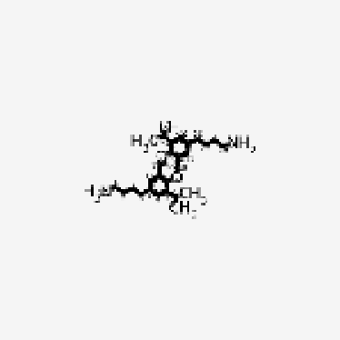 CC(C)c1cc(CCCCN)cc2c1OC1OC2Oc2c(C(C)C)cc(CCCCN)cc21